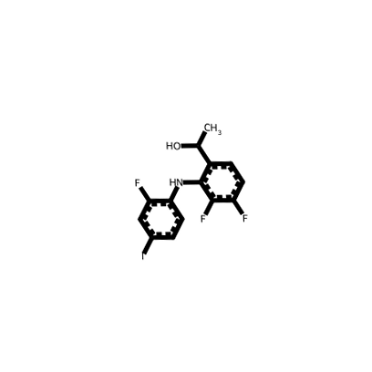 CC(O)c1ccc(F)c(F)c1Nc1ccc(I)cc1F